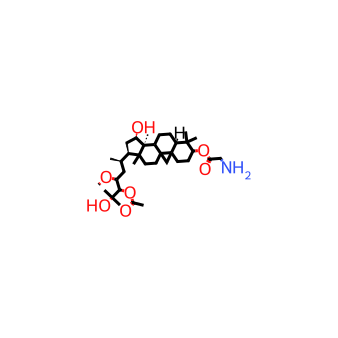 COC(C[C@@H](C)[C@H]1C[C@H](O)[C@@]2(C)C3CC[C@H]4C(C)(C)C(OC(=O)CN)CCC45CC35CCC12C)C(OC(C)=O)C(C)(C)O